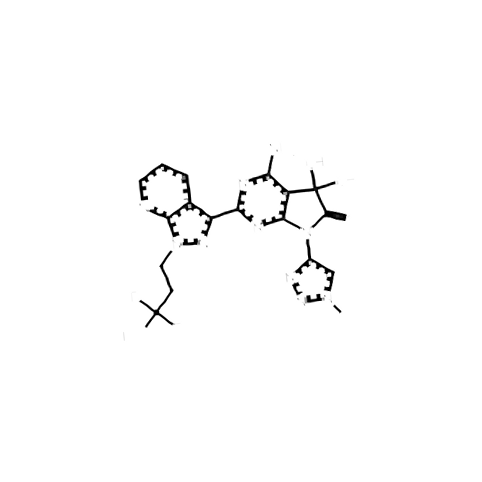 CCn1cc(N2C(=O)C(C)(C)c3c(N)nc(-c4nn(CCC(F)(F)C(F)(F)F)c5ncccc45)nc32)nn1